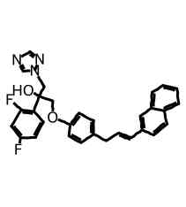 OC(COc1ccc(CC=Cc2ccc3ccccc3c2)cc1)(Cn1cncn1)c1ccc(F)cc1F